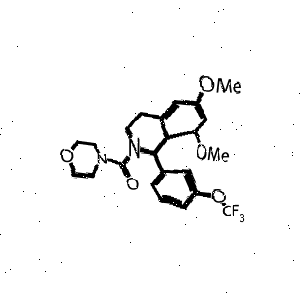 COC1=CC(OC)C2C(=C1)CCN(C(=O)N1CCOCC1)C2c1cccc(OC(F)(F)F)c1